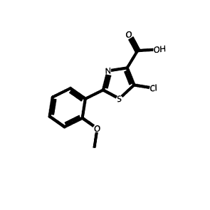 COc1ccccc1-c1nc(C(=O)O)c(Cl)s1